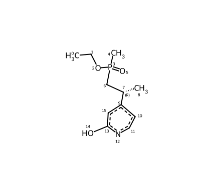 CCOP(C)(=O)C[C@H](C)c1ccnc(O)c1